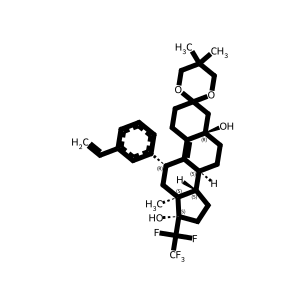 C=Cc1cccc([C@H]2C[C@@]3(C)[C@@H](CC[C@@]3(O)C(F)(F)C(F)(F)F)[C@@H]3CC[C@@]4(O)CC5(CCC4=C32)OCC(C)(C)CO5)c1